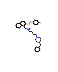 Fc1ccc(COc2ccc3ccccc3c2CNCCCCN2CCC(Cc3ccccc3)CC2)cc1